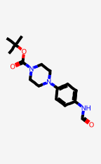 CC(C)(C)OC(=O)N1CCN(c2ccc(NC=O)cc2)CC1